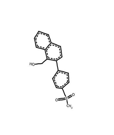 CS(=O)(=O)c1ccc(-c2ccc3ccccc3c2CO)cc1